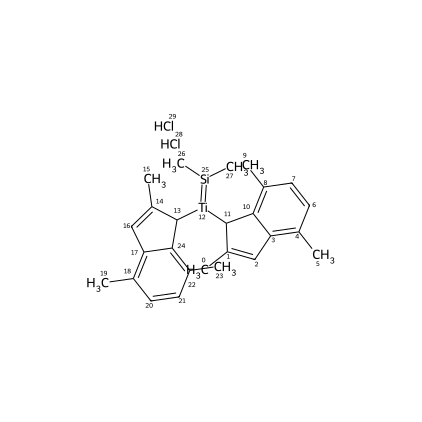 CC1=Cc2c(C)ccc(C)c2[CH]1[Ti]([CH]1C(C)=Cc2c(C)ccc(C)c21)=[Si](C)C.Cl.Cl